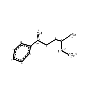 CC(C)(C)C(CC[C@H](O)c1ccccc1)NC(=O)O